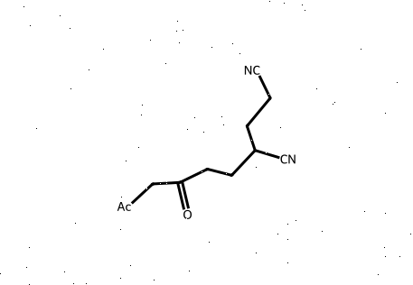 CC(=O)CC(=O)CCC(C#N)CCC#N